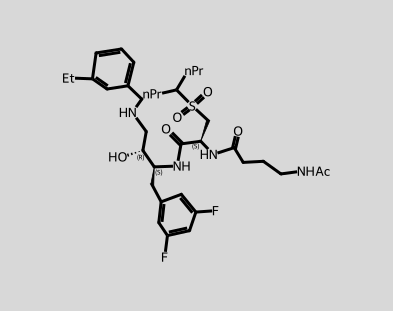 CCCC(CCC)S(=O)(=O)C[C@@H](NC(=O)CCCNC(C)=O)C(=O)N[C@@H](Cc1cc(F)cc(F)c1)[C@H](O)CNCc1cccc(CC)c1